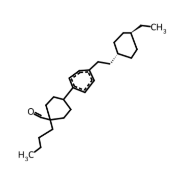 CCCCC1(C=O)CCC(c2ccc(CC[C@H]3CC[C@H](CC)CC3)cc2)CC1